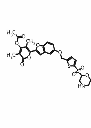 CC(=O)Oc1c(C)c(-c2cc3cc(OCc4ccc(S(=O)(=O)C5CNCCO5)s4)ccc3o2)oc(=O)c1C